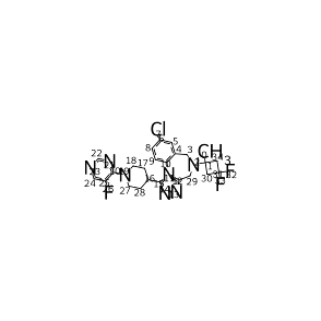 CC1(N2Cc3cc(Cl)ccc3-n3c(nnc3C3CCN(c4ncncc4F)CC3)C2)CC(F)(F)C1